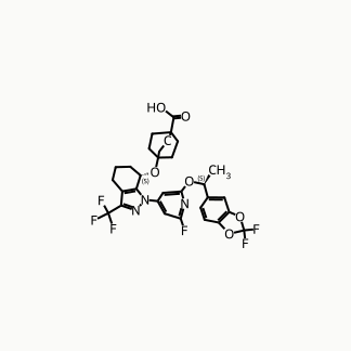 C[C@H](Oc1cc(-n2nc(C(F)(F)F)c3c2[C@@H](OC24CCC(C(=O)O)(CC2)CC4)CCC3)cc(F)n1)c1ccc2c(c1)OC(F)(F)O2